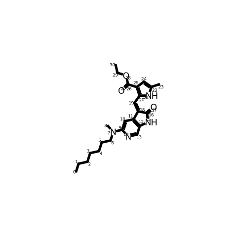 CCCCCCCN(C)c1cc2c(cn1)NC(=O)/C2=C\c1[nH]c(C)cc1C(=O)OCC